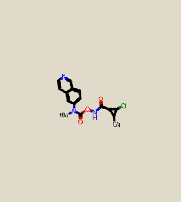 CC(C)(C)N(C(=O)ONC(=O)C1C(Cl)C1C#N)c1ccc2cnccc2c1